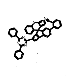 N#Cc1ccccc1-c1ccc2c(c1)C1(c3ccccc3Sc3ccccc31)c1cc(-c3nc(-c4ccccc4)nc(-c4ccccc4)n3)ccc1-2